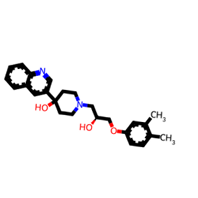 Cc1ccc(OC[C@@H](O)CN2CCC(O)(c3cnc4ccccc4c3)CC2)cc1C